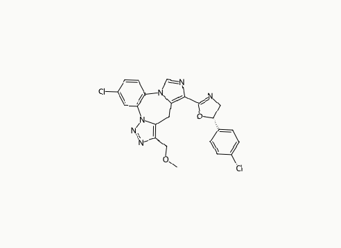 COCc1nnn2c1Cc1c(C3=NC[C@H](c4ccc(Cl)cc4)O3)ncn1-c1ccc(Cl)cc1-2